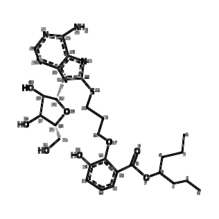 CCCC(CCC)OC(=O)c1cccc(O)c1OCCCSc1nc2c(N)ncnc2n1[C@@H]1O[C@H](CO)C(O)C1O